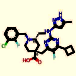 CC[C@@H]1C[C@](Cc2nc(Nc3cc(C)[nH]n3)nc(C3CCC3)c2F)(C(=O)O)CCN1Cc1cccc(Cl)c1F